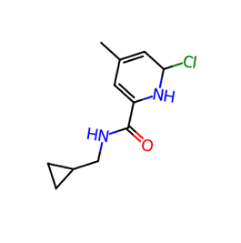 CC1=CC(Cl)NC(C(=O)NCC2CC2)=C1